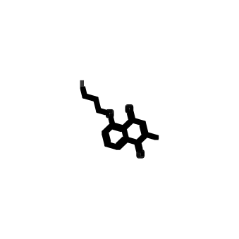 CC1=CC(=O)c2c(OCCCI)cccc2C1=O